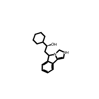 O[C@@H](CC1c2ccccc2C2=CNCN21)C1CCCCC1